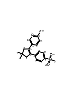 CC1(C)CC(c2ccc(S(C)(=O)=O)cc2)=C(c2ccc(F)nc2)C1